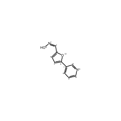 O/N=C\c1ccc(-c2cccnc2)o1